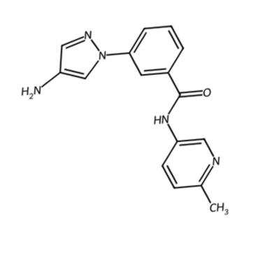 Cc1ccc(NC(=O)c2cccc(-n3cc(N)cn3)c2)cn1